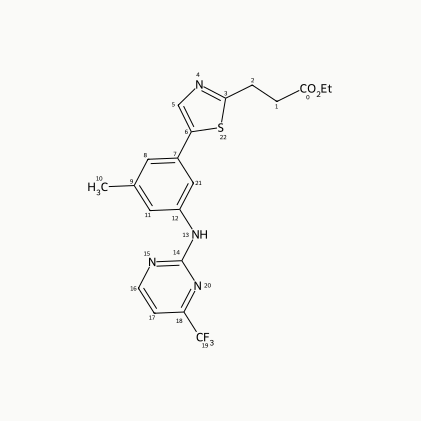 CCOC(=O)CCc1ncc(-c2cc(C)cc(Nc3nccc(C(F)(F)F)n3)c2)s1